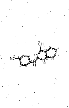 Cc1nc(Nc2ccc(C#N)cc2)nc2ccccc12